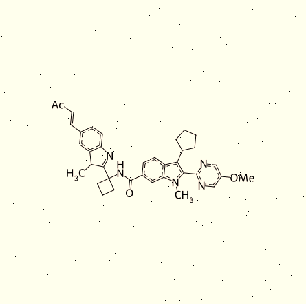 COc1cnc(-c2c(C3CCCC3)c3ccc(C(=O)NC4(C5=Nc6ccc(/C=C/C(C)=O)cc6C5C)CCC4)cc3n2C)nc1